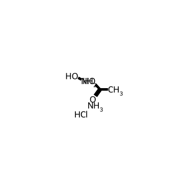 CC(=O)O.Cl.N.NO